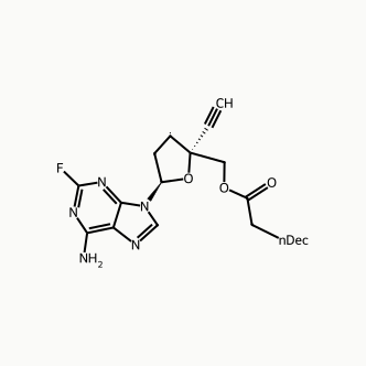 C#C[C@@]1(COC(=O)CCCCCCCCCCC)[CH]C[C@H](n2cnc3c(N)nc(F)nc32)O1